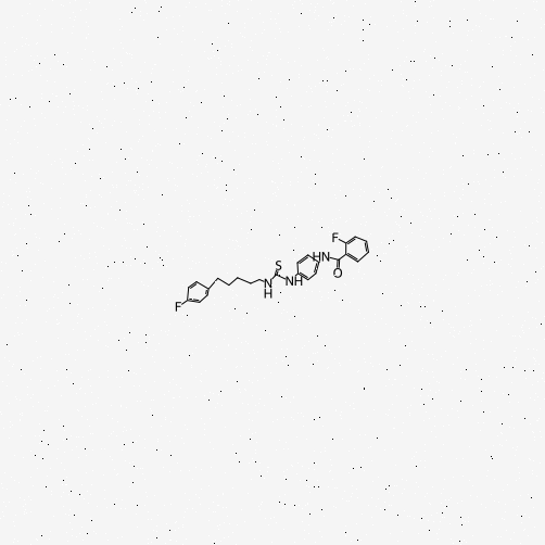 O=C(Nc1ccc(NC(=S)NCCCCCc2ccc(F)cc2)cc1)c1ccccc1F